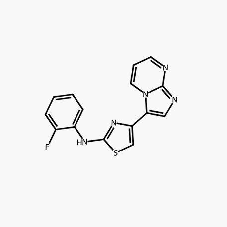 Fc1ccccc1Nc1nc(-c2cnc3ncccn23)cs1